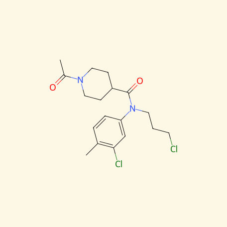 CC(=O)N1CCC(C(=O)N(CCCCl)c2ccc(C)c(Cl)c2)CC1